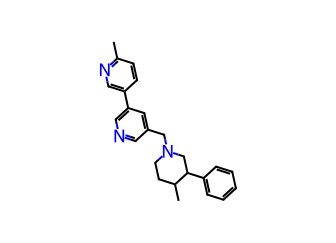 Cc1ccc(-c2cncc(CN3CCC(C)C(c4ccccc4)C3)c2)cn1